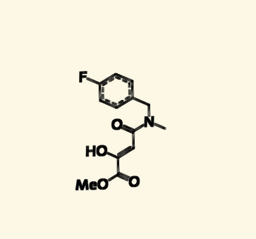 COC(=O)C(O)=CC(=O)N(C)Cc1ccc(F)cc1